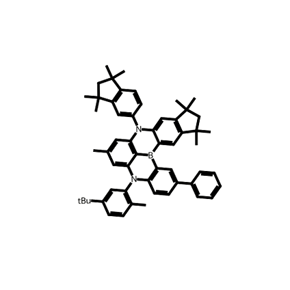 Cc1cc2c3c(c1)N(c1cc(C(C)(C)C)ccc1C)c1ccc(-c4ccccc4)cc1B3c1cc3c(cc1N2c1ccc2c(c1)C(C)(C)CC2(C)C)C(C)(C)CC3(C)C